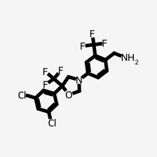 NCc1ccc(N2COC(c3cc(Cl)cc(Cl)c3)(C(F)(F)F)C2)cc1C(F)(F)F